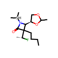 CCCCC1([C@@H](C)F)C(=O)N([SiH](C)C)C1[C@H]1COC(C)O1